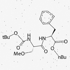 CCCCOC(=O)[C@H](Cc1ccccc1)NC(=O)[C@H](COC)NC(=O)OC(C)(C)C